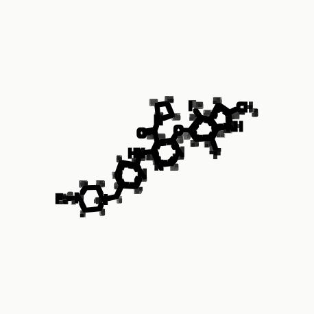 CCN1CCN(Cc2ccc(Nc3ncnc(Oc4cc(F)c5[nH]c(C)cc5c4F)c3C(=O)N3CCC3)nc2)CC1